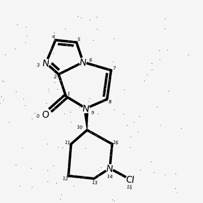 O=c1c2nccn2ccn1[C@@H]1CCCN(Cl)C1